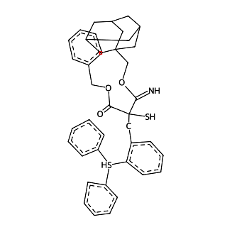 N=C(OCC12CC3CC(CC(C3)C1)C2)C(S)(Cc1ccccc1[SH](c1ccccc1)c1ccccc1)C(=O)OCc1ccccc1